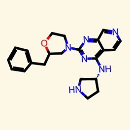 c1ccc(CC2CN(c3nc(N[C@@H]4CCNC4)c4ccncc4n3)CCO2)cc1